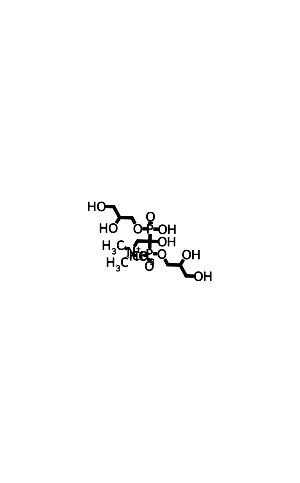 C[N+](C)(C)CC(O)(P(=O)(O)OCC(O)CO)P(=O)(O)OCC(O)CO